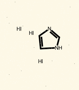 I.I.I.c1c[nH]cn1